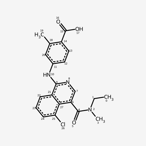 CCN(C)C(=O)c1cnc(Nc2ccc(C(=O)O)c(C)c2)c2cccc(Cl)c12